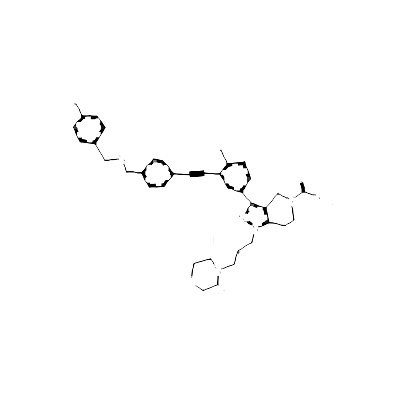 C[C@H]1COCCN1C[C@H](O)Cn1nc(-c2ccc(Cl)c(C#Cc3ccc(CNCc4ccc(Cl)cc4)cc3)c2)c2c1CCN(C(N)=O)C2